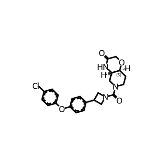 O=C1CO[C@H]2CCN(C(=O)N3CC(c4ccc(Oc5ccc(Cl)cc5)cc4)C3)C[C@H]2N1